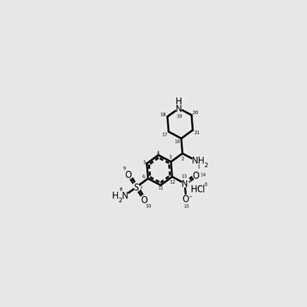 Cl.NC(c1ccc(S(N)(=O)=O)cc1[N+](=O)[O-])C1CCNCC1